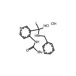 CC(C)(C)C(=O)Nc1ccncc1C(C)(I)NCc1ccccc1.Cl.Cl